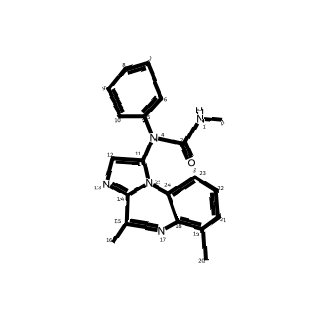 CNC(=O)N(c1ccccc1)c1cnc2c(C)nc3c(C)cccc3n12